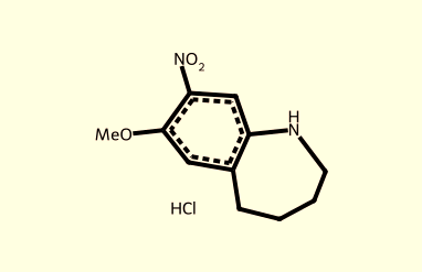 COc1cc2c(cc1[N+](=O)[O-])NCCCC2.Cl